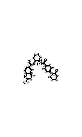 O=C(NC1CCCCC1NC(=O)c1ccc2nc(Cl)ccc2c1)c1ccc(N2CCCCC2=O)cc1